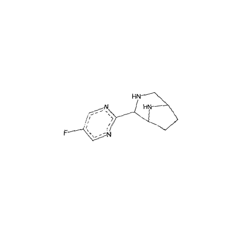 Fc1cnc(C2NCC3CCC2N3)nc1